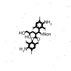 CCCCCCCCCC(c1c(I)cc(I)c(N)c1I)C(CC(O)CO)C(=O)Oc1c(I)cc(I)c(N)c1I